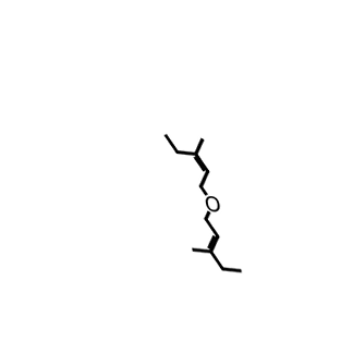 CCC(C)=CCOCC=C(C)CC